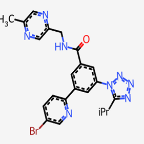 Cc1cnc(CNC(=O)c2cc(-c3ccc(Br)cn3)cc(-n3nnnc3C(C)C)c2)cn1